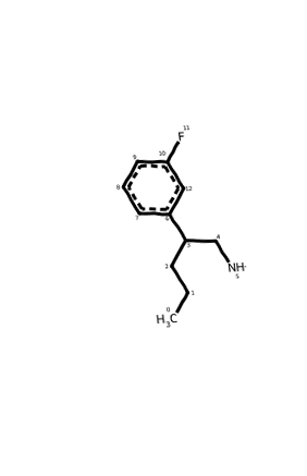 CCCC(C[NH])c1cccc(F)c1